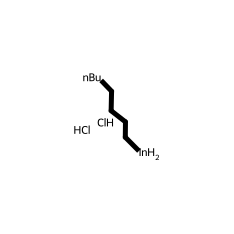 CCCCCCC[CH2][InH2].Cl.Cl